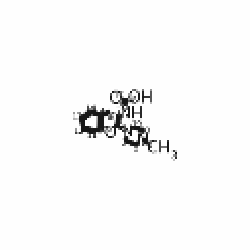 CN1CCN(C(=O)[C@H](Cc2ccccc2)NC(=O)O)CC1